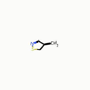 C=C1[C]=NSC1